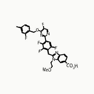 COCCn1c(Cc2c(F)cc(-c3ncc(F)c(OCc4ccc(C)cc4F)n3)c(F)c2F)nc2ccc(C(=O)O)cc21